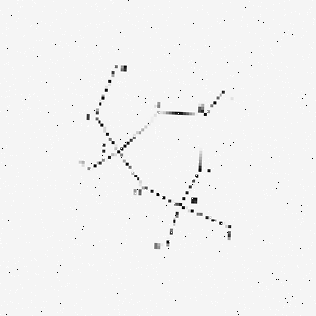 CCC1(C)CC(C)CC(C)(C)C1